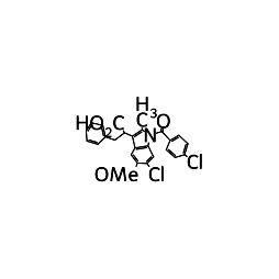 COc1cc2c(C(Cc3ccccc3)C(=O)O)c(C)n(C(=O)c3ccc(Cl)cc3)c2cc1Cl